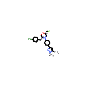 Cc1cc(C2CCC(N3C[C@H](CF)OC[C@@H]3Cc3ccc(Cl)cc3)CC2)nn1C